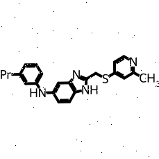 Cc1cc(SCc2nc3cc(Nc4cccc(C(C)C)c4)ccc3[nH]2)ccn1